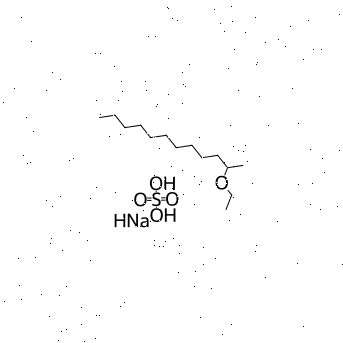 CCCCCCCCCCC(C)OCC.O=S(=O)(O)O.[NaH]